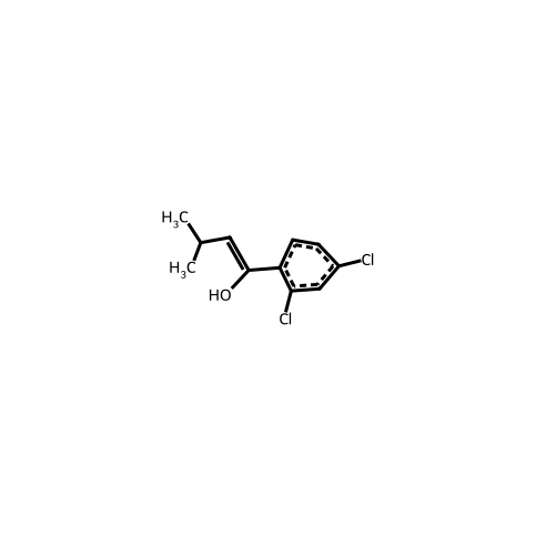 CC(C)/C=C(\O)c1ccc(Cl)cc1Cl